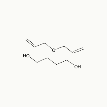 C=CCOCC=C.OCCCCO